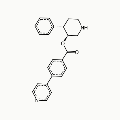 O=C(O[C@@H]1CNCC[C@H]1c1ccccc1)c1ccc(-c2ccncc2)cc1